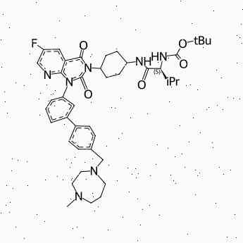 CC(C)[C@H](NC(=O)OC(C)(C)C)C(=O)NC1CCC(n2c(=O)c3cc(F)cnc3n(-c3cccc(-c4ccc(CN5CCCN(C)CC5)cc4)c3)c2=O)CC1